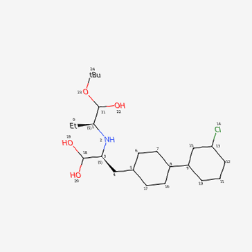 CC[C@H](N[C@@H](CC1CCC(C2CCCC(Cl)C2)CC1)C(O)O)C(O)OC(C)(C)C